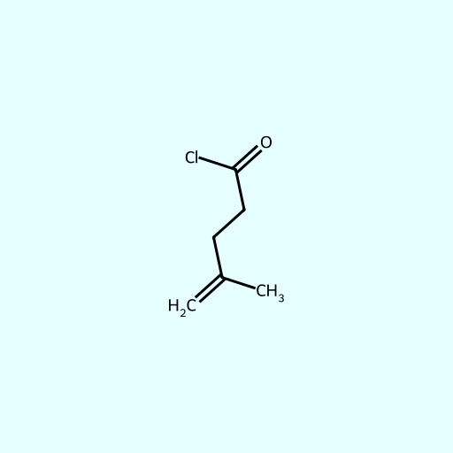 C=C(C)CCC(=O)Cl